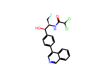 O=C(N[C@H](CF)[C@H](O)c1ccc(-c2cncc3ccccc23)cc1)C(Cl)Cl